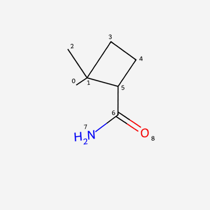 CC1(C)CCC1C(N)=O